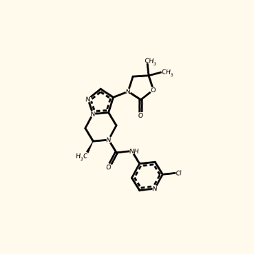 C[C@H]1Cn2ncc(N3CC(C)(C)OC3=O)c2CN1C(=O)Nc1ccnc(Cl)c1